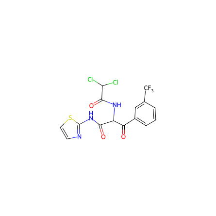 O=C(NC(C(=O)Nc1nccs1)C(=O)c1cccc(C(F)(F)F)c1)C(Cl)Cl